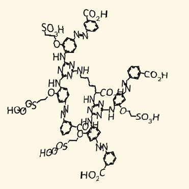 O=C(O)c1cccc(N=Nc2ccc(Nc3nc(NCCCCC(Nc4nc(Nc5ccc(N=Nc6cccc(C(=O)O)c6)cc5OCCSOOO)nc(Nc5ccc(N=Nc6cccc(C(=O)O)c6)cc5OCCS(=O)(=O)O)n4)C(=O)O)nc(Nc4ccc(N=Nc5cccc(C(=O)O)c5)cc4OCCS(=O)(=O)O)n3)c(OCCSOOO)c2)c1